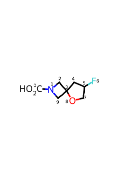 O=C(O)N1CC2(CC(F)CO2)C1